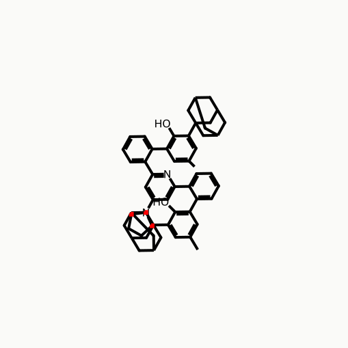 Cc1cc(-c2ccccc2-c2cc(N3CCCC3)cc(-c3ccccc3-c3cc(C)cc(C45CC6CC(CC(C6)C4)C5)c3O)n2)c(O)c(C23CC4CC(CC(C4)C2)C3)c1